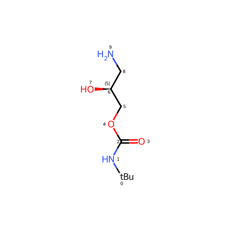 CC(C)(C)NC(=O)OC[C@@H](O)CN